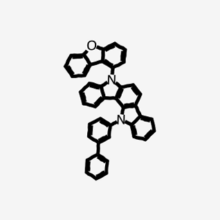 c1ccc(-c2cccc(-n3c4ccccc4c4ccc5c(c6ccccc6n5-c5cccc6oc7ccccc7c56)c43)c2)cc1